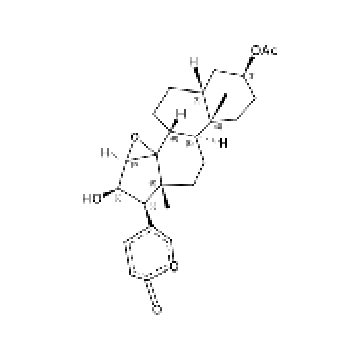 CC(=O)O[C@H]1CC[C@@]2(C)[C@H](CC[C@@H]3[C@@H]2CC[C@]2(C)[C@@H](c4ccc(=O)oc4)[C@@H](O)[C@H]4OC342)C1